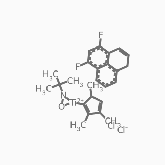 CC1=CC(C)[C]([Ti+2]2[O][N]2C(C)(C)C)=C1C.Fc1cc(F)c2cccc3c2c1C=CC3.[Cl-].[Cl-]